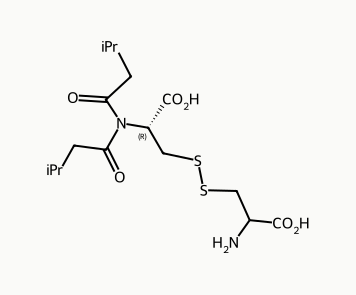 CC(C)CC(=O)N(C(=O)CC(C)C)[C@@H](CSSCC(N)C(=O)O)C(=O)O